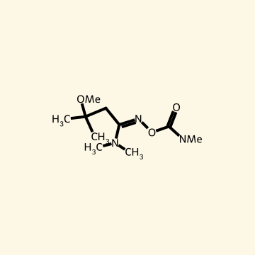 CNC(=O)ON=C(CC(C)(C)OC)N(C)C